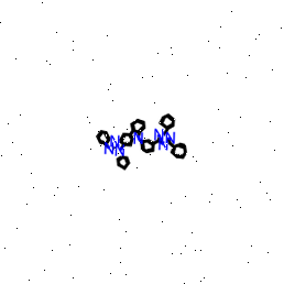 C1#CC(c2nc(-c3ccccc3)nc(-c3cccc(-n4c5ccccc5c5cc6c(cc54)n(C4=CCCC=C4)c4nc5ccccc5n64)c3)n2)=CC=CC1